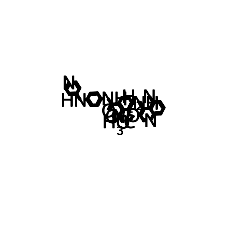 COc1cnc2cccc(N)c2c1Nc1ccc(C(=O)Nc2ccc(Nc3ccncc3)cc2)c([N+](=O)[O-])c1